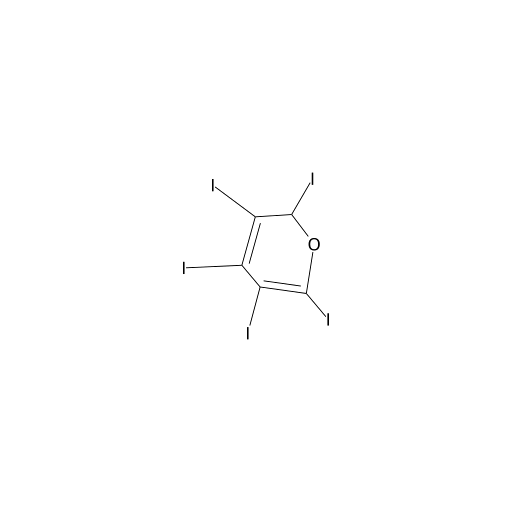 IC1=C(I)C(I)=C(I)C(I)O1